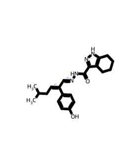 CC(C)C/C=C(/C=N/NC(=O)c1n[nH]c2c1CCCC2)c1ccc(O)cc1